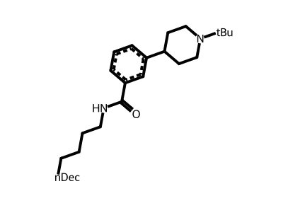 CCCCCCCCCCCCCCNC(=O)c1cccc(C2CCN(C(C)(C)C)CC2)c1